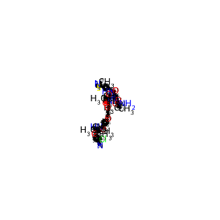 Cc1ncsc1-c1ccc(CNC(=O)[C@@H]2C[C@@H](OC(=O)[C@@H](N)C(C)C)CN2C(=O)[C@@H](NC(=O)COCCCCOc2ccc(C(=O)N[C@H]3C(C)(C)[C@H](Oc4ccc(C#N)c(Cl)c4)C3(C)C)cc2)C(C)(C)C)cc1